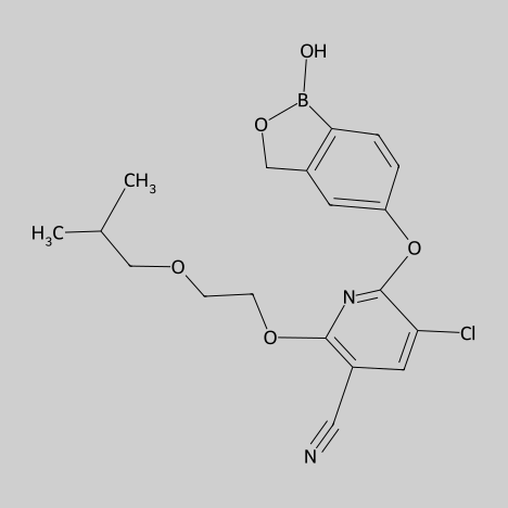 CC(C)COCCOc1nc(Oc2ccc3c(c2)COB3O)c(Cl)cc1C#N